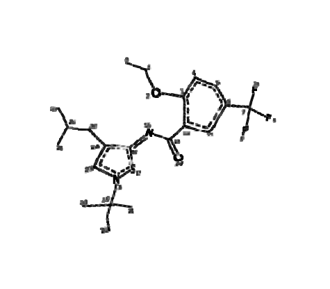 CCOc1ccc(C(F)(F)F)cc1C(=O)N=c1sn(C(C)(C)C)cc1CC(C)C